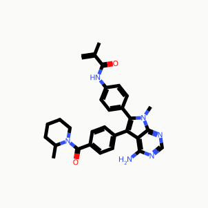 C=C(C)C(=O)Nc1ccc(-c2c(-c3ccc(C(=O)N4CCCCC4C)cc3)c3c(N)ncnc3n2C)cc1